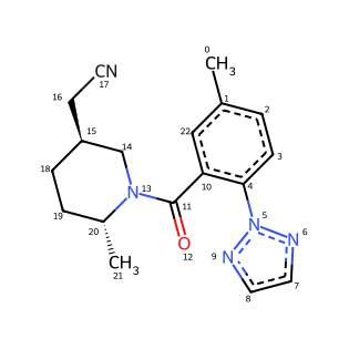 Cc1ccc(-n2nccn2)c(C(=O)N2C[C@H](CC#N)CC[C@H]2C)c1